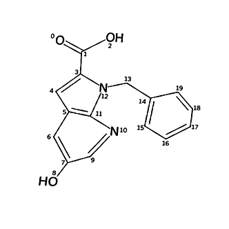 O=C(O)c1cc2cc(O)cnc2n1Cc1ccccc1